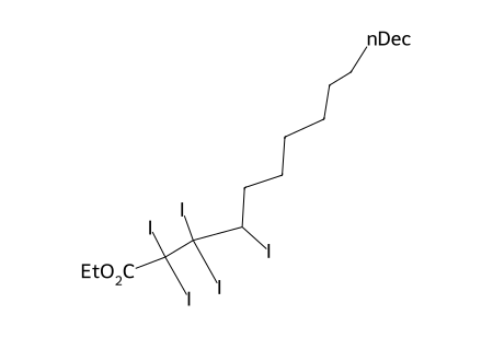 CCCCCCCCCCCCCCCCC(I)C(I)(I)C(I)(I)C(=O)OCC